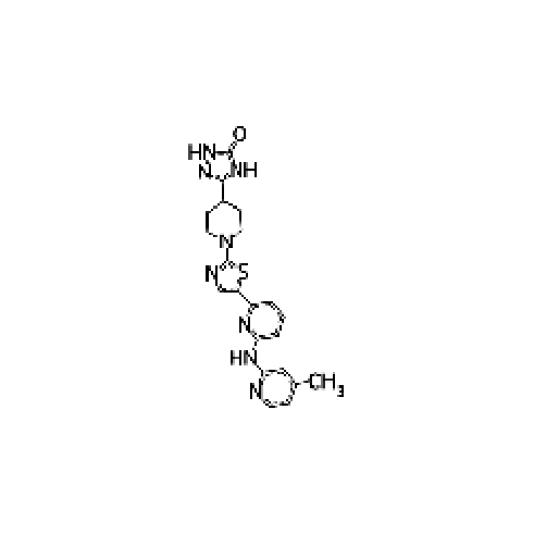 Cc1ccnc(Nc2cccc(-c3cnc(N4CCC(c5n[nH]c(=O)[nH]5)CC4)s3)n2)c1